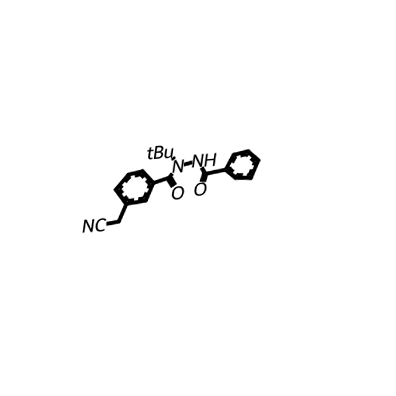 CC(C)(C)N(NC(=O)c1ccccc1)C(=O)c1cccc(CC#N)c1